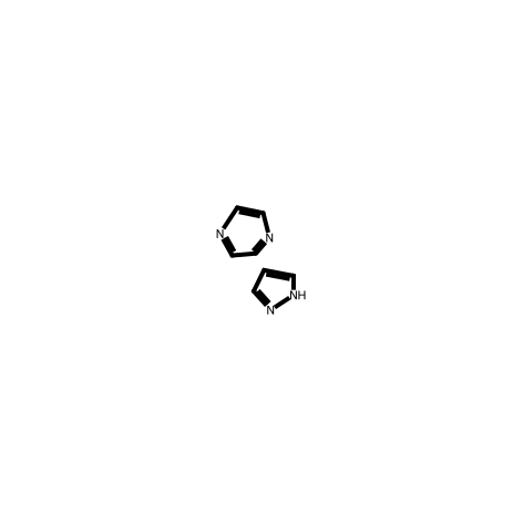 c1cn[nH]c1.c1cnccn1